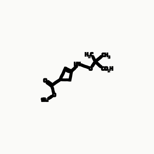 CC(C)(C)OC(=O)C1C=C(NOC(C)(C)C(=O)O)C1